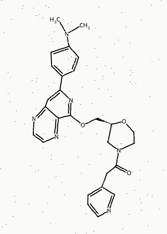 CN(C)c1ccc(-c2cc3nccnc3c(OC[C@@H]3CN(C(=O)Cc4cccnc4)CCO3)n2)cc1